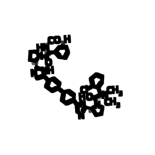 CN(C)[C@@H](C(=O)N1CCC[C@H]1c1ncc(-c2ccc(-c3ccc(-c4cnc([C@@H]5CCCN5C(=O)[C@H](NC(=O)O)c5ccccc5)[nH]4)cc3)cc2)[nH]1)c1ccccc1Cl